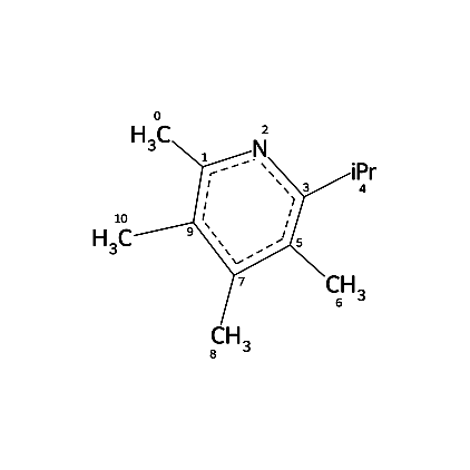 Cc1nc(C(C)C)c(C)c(C)c1C